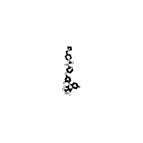 NC(=O)C1(C(=O)N(c2ccc(F)cc2)c2ccc(Oc3ccnc(NC(=O)N4CCC(CN5CCC5)CC4)c3)cc2F)CC1